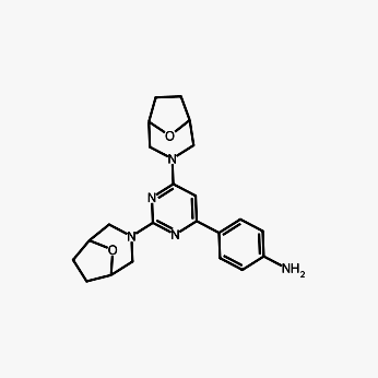 Nc1ccc(-c2cc(N3CC4CCC(C3)O4)nc(N3CC4CCC(C3)O4)n2)cc1